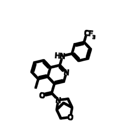 Cc1cccc2c(Nc3cccc(C(F)(F)F)c3)ncc(C(=O)N3CC4CC3CO4)c12